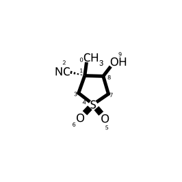 C[C@]1(C#N)CS(=O)(=O)CC1O